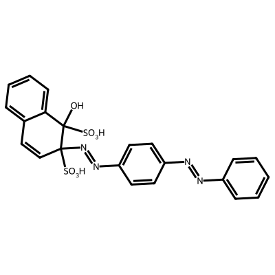 O=S(=O)(O)C1(N=Nc2ccc(N=Nc3ccccc3)cc2)C=Cc2ccccc2C1(O)S(=O)(=O)O